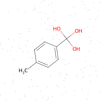 Cc1ccc(C(O)(O)O)cc1